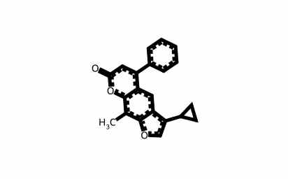 Cc1c2oc(=O)cc(-c3ccccc3)c2cc2c(C3CC3)coc12